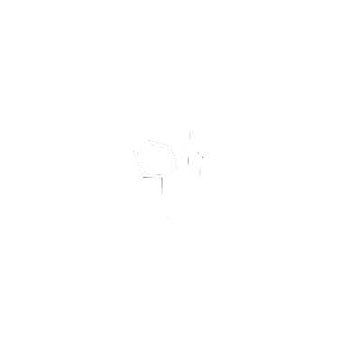 Br.CC.Clc1ccccc1.N